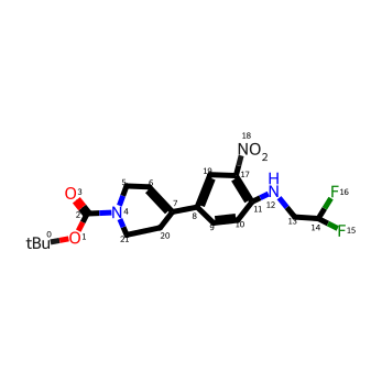 CC(C)(C)OC(=O)N1CC=C(c2ccc(NCC(F)F)c([N+](=O)[O-])c2)CC1